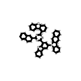 c1ccc2cc(-c3nc(-c4cc(-n5c6ccccc6c6cc7ccccc7cc65)cc5c4oc4ccccc45)nc(-c4cccc5oc6ccccc6c45)n3)ccc2c1